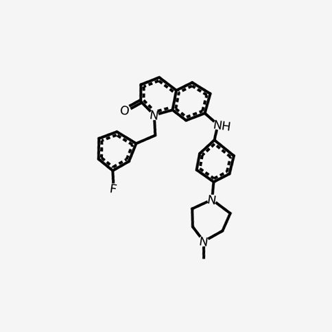 CN1CCN(c2ccc(Nc3ccc4ccc(=O)n(Cc5cccc(F)c5)c4c3)cc2)CC1